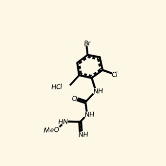 CONC(=N)NC(=O)Nc1c(C)cc(Br)cc1Cl.Cl